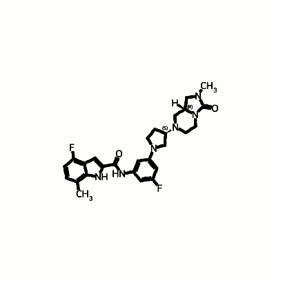 Cc1ccc(F)c2cc(C(=O)Nc3cc(F)cc(N4CC[C@H](N5CCN6C(=O)N(C)C[C@H]6C5)C4)c3)[nH]c12